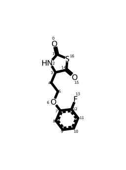 O=C1NC(CCOc2ccccc2F)C(=O)S1